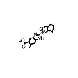 COC(=O)c1cc2nc([S@+]([O-])Cc3ncccc3C)[nH]c2cc1C